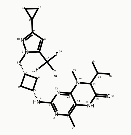 Cc1nc(N[C@H]2C[C@@H](Cn3nc(C4CC4)cc3C(F)(F)F)C2)nc2c1NC(=O)C(C(C)C)N2C